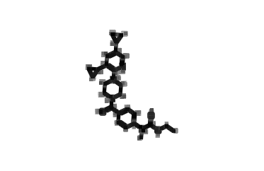 CCOC(=O)N(C)c1ccc(C(=O)N2CCN(c3ncc(C4CC4)cc3C3CC3)CC2)cc1